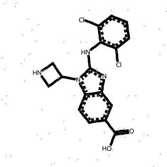 O=C(O)c1ccc2c(c1)nc(Nc1c(Cl)cccc1Cl)n2C1CNC1